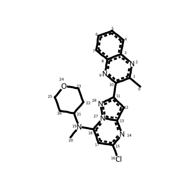 Cc1nc2ccccc2nc1-c1cc2nc(Cl)cc(N(C)C3CCOCC3)n2n1